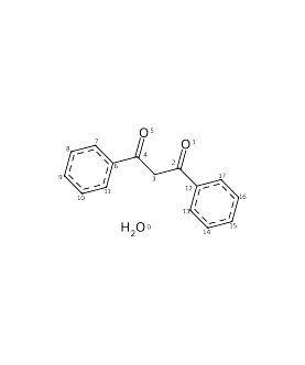 O.O=C(CC(=O)c1ccccc1)c1ccccc1